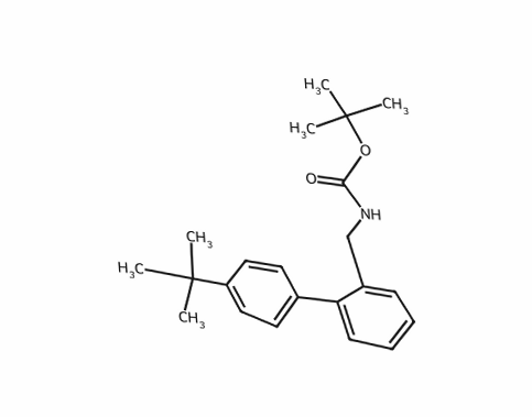 CC(C)(C)OC(=O)NCc1ccccc1-c1ccc(C(C)(C)C)cc1